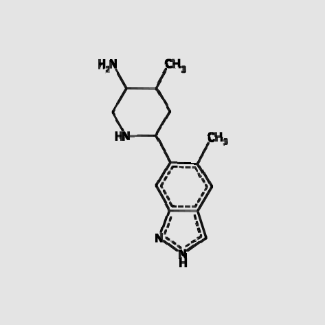 Cc1cc2c[nH]nc2cc1C1CC(C)C(N)CN1